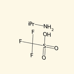 CC(C)N.O=S(=O)(O)C(F)(F)F